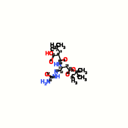 CC(C)CC(C(=O)O)C(=O)NC(/C=N/NC(N)=O)CC(=O)OC(C)(C)C